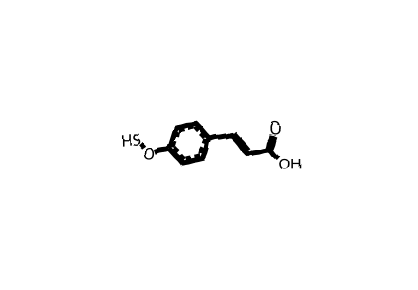 O=C(O)/C=C/c1ccc(OS)cc1